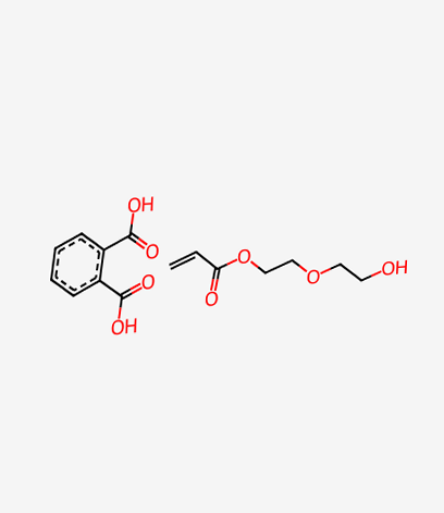 C=CC(=O)OCCOCCO.O=C(O)c1ccccc1C(=O)O